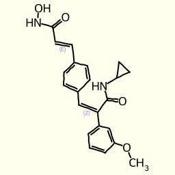 COc1cccc(/C(=C/c2ccc(/C=C/C(=O)NO)cc2)C(=O)NC2CC2)c1